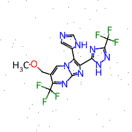 COCc1cn2c(-c3cnc[nH]3)c(-c3nc(C(F)(F)F)n[nH]3)nc2nc1C(F)(F)F